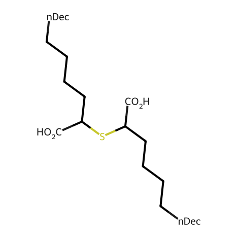 CCCCCCCCCCCCCCC(SC(CCCCCCCCCCCCCC)C(=O)O)C(=O)O